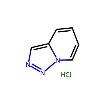 Cl.c1ccn2nncc2c1